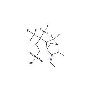 C/C=C1\C(C)C2CC1C(C(OCS(=O)(=O)O)(C(F)(F)F)C(F)(F)F)C2(F)F